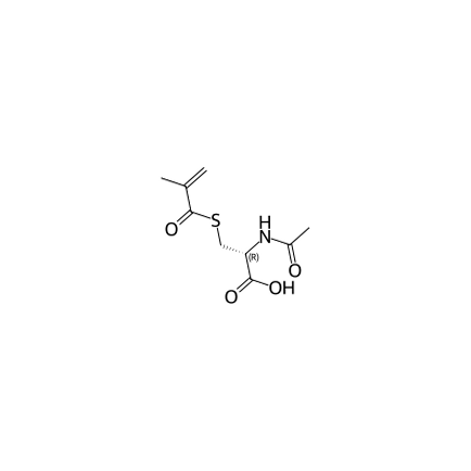 C=C(C)C(=O)SC[C@H](NC(C)=O)C(=O)O